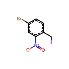 O=[N+]([O-])c1cc(Br)ccc1CI